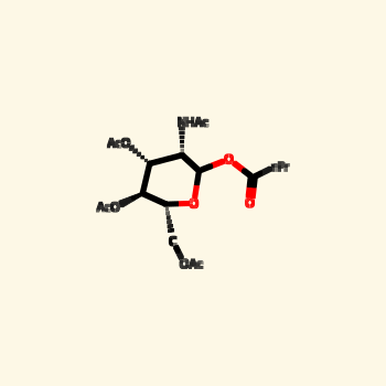 CCCC(=O)OC1O[C@H](COC(C)=O)[C@@H](OC(C)=O)[C@H](OC(C)=O)[C@@H]1NC(C)=O